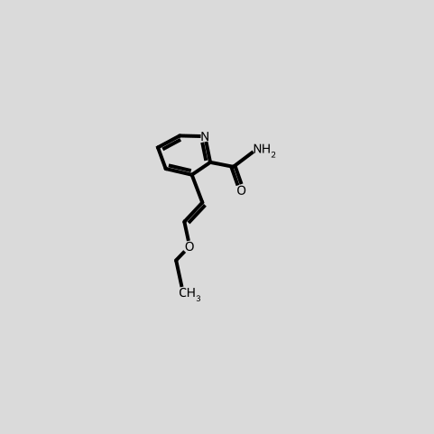 CCOC=Cc1cccnc1C(N)=O